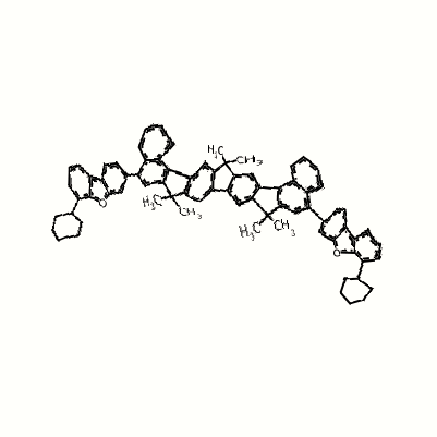 CC1(C)c2cc3c(cc2-c2cc4c(cc21)-c1c(cc(-c2ccc5c(c2)oc2c(C6CCCCC6)cccc25)c2ccccc12)C4(C)C)C(C)(C)c1cc(-c2ccc4c(c2)oc2c(C5CCCCC5)cccc24)c2ccccc2c1-3